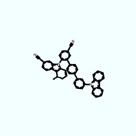 CC1CC=Cc2c1c1ccc(C#N)cc1n2-c1ccc(C#N)cc1-c1ccc(-c2cccc(-n3c4ccccc4c4ccccc43)c2)cc1